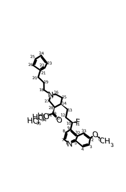 COc1ccc2nccc([C@H](F)CC[C@@H]3CCN(CCCc4ccccc4)C[C@@H]3C(=O)O)c2c1.Cl.Cl